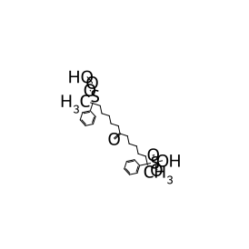 CC(CCCCCC(=O)CCCCCC(C)(c1ccccc1)S(=O)(=O)O)(SOOO)c1ccccc1